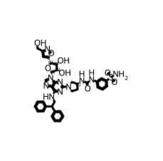 NS(=O)(=O)c1cccc(NC(=O)N[C@@H]2CCN(c3nc(NCC(c4ccccc4)c4ccccc4)c4ncn([C@@H]5O[C@H](c6cc(CO)no6)[C@@H](O)[C@@H]5O)c4n3)C2)c1